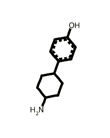 NC1CCC(c2ccc(O)cc2)CC1